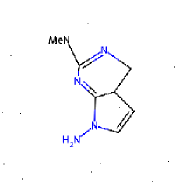 CNC1=NCC2C=CN(N)C2=N1